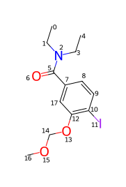 CCN(CC)C(=O)c1ccc(I)c(OCOC)c1